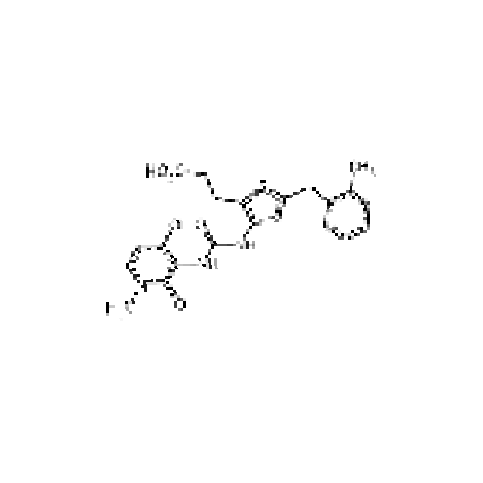 Cc1ccccc1Cc1cc(NC(=O)Nc2c(O)ccn(C)c2=O)c(CCC(=O)O)s1